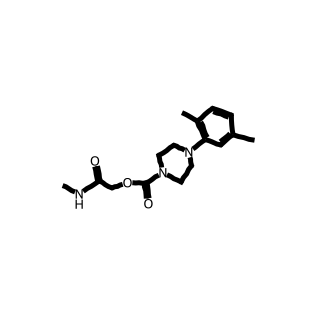 CNC(=O)COC(=O)N1CCN(c2cc(C)ccc2C)CC1